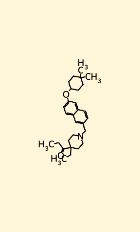 CCC(=O)C1(CC)CCN(Cc2ccc3cc(OC4CCC(C)(C)CC4)ccc3c2)CC1